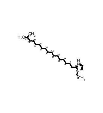 CC[n+]1cc[nH]c1CCCCCCCCCCCCCCCC(C)C